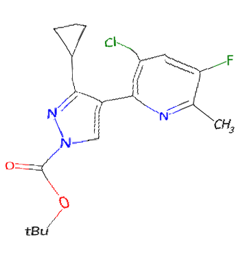 Cc1nc(-c2cn(C(=O)OC(C)(C)C)nc2C2CC2)c(Cl)cc1F